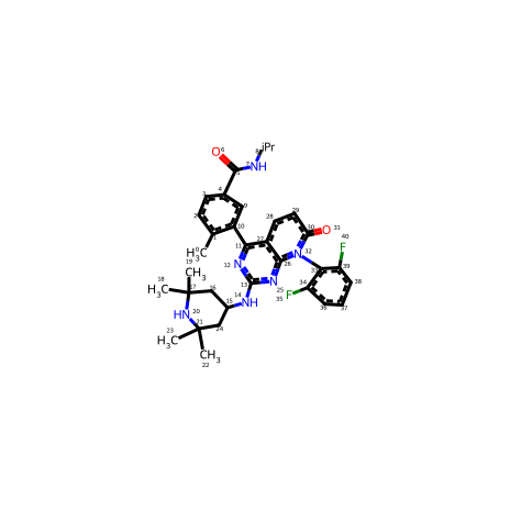 Cc1ccc(C(=O)NC(C)C)cc1-c1nc(NC2CC(C)(C)NC(C)(C)C2)nc2c1ccc(=O)n2-c1c(F)cccc1F